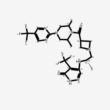 CC1CN(c2ncc(C(F)(F)F)cn2)CC(C)N1C(=O)C1CN(C[C@H](C)Nc2cn[nH]c(=O)c2C(F)(F)F)C1